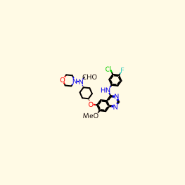 COc1cc2ncnc(Nc3ccc(F)c(Cl)c3)c2cc1O[C@H]1CC[C@@H](N(C=O)N2CCOCC2)CC1